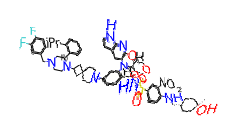 CC(C)c1ccccc1[C@@H]1CN(Cc2ccc(F)c(F)c2)CCN1C1CC2(CCN(c3ccc(C(=O)NS(=O)(=O)c4ccc(NC[C@H]5CC[C@](C)(O)CC5)c([N+](=O)[O-])c4)c(N4c5cc6cc[nH]c6nc5O[C@H]5COCC[C@@H]54)c3)CC2)C1